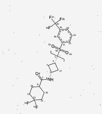 CC(C)([C@H]1C[C@@H](NC(=O)C2CCC(F)(F)CC2)C1)S(=O)(=O)c1cccc(C(F)(F)F)c1